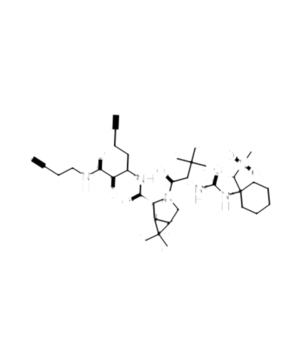 C#CCCNC(=O)C(=O)C(CCC#C)NC(=O)[C@@H]1C2C(CN1C(=O)[C@@H](NC(=O)NC1(CS(C)(=O)=O)CCCCC1)C(C)(C)C)C2(C)C